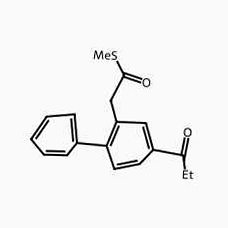 CCC(=O)c1ccc(-c2ccccc2)c(CC(=O)SC)c1